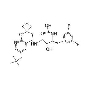 CC(C)(C)Cc1cnc2c(c1)[C@@H](NC[C@@H](O)[C@H](Cc1cc(F)cc(F)c1)NC(=O)O)CC1(CCC1)O2